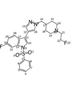 O=S(=O)(c1ccccc1)n1cc(-c2cnn(CC3CCN(CCF)CC3)c2)c2ccc(F)cc21